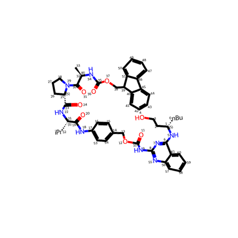 CCCC[C@@H](CCO)Nc1nc(NC(=O)OCc2ccc(NC(=O)[C@@H](NC(=O)[C@@H]3CCCN3C(=O)[C@@H](C)NC(=O)OCC3c4ccccc4-c4ccccc43)C(C)C)cc2)nc2ccccc12